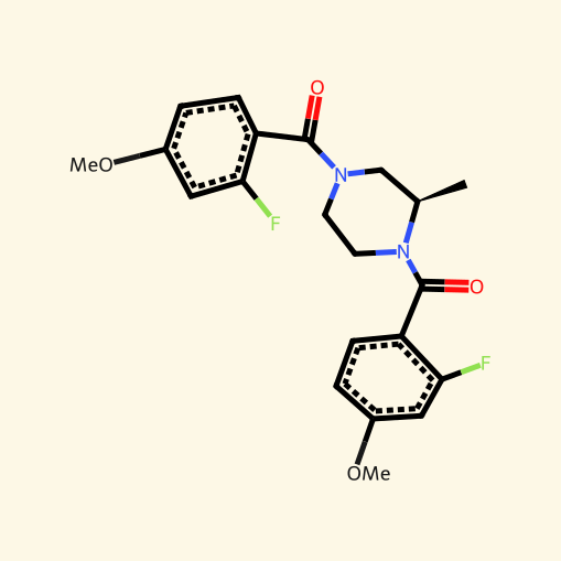 COc1ccc(C(=O)N2CCN(C(=O)c3ccc(OC)cc3F)[C@H](C)C2)c(F)c1